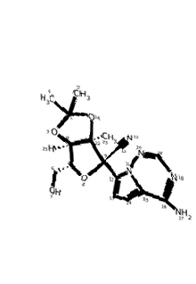 CC1(C)O[C@@H]2[C@@H](CO)O[C@@](C#N)(c3ccc4c(N)ncnn34)[C@]2(C)O1